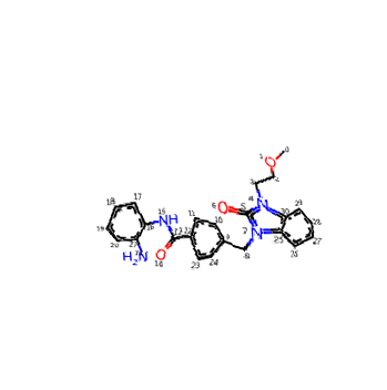 COCCn1c(=O)n(Cc2ccc(C(=O)Nc3ccccc3N)cc2)c2ccccc21